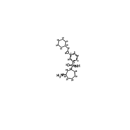 N=S(=O)(c1cccc(OCC2CCCCC2)c1)C1CCCCC(N)C1